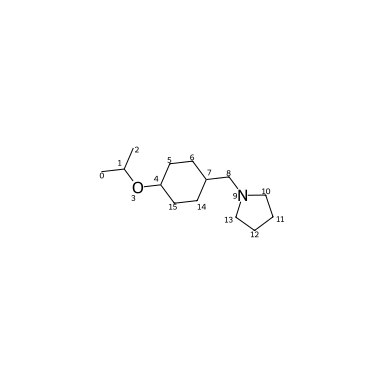 CC(C)OC1CCC(CN2CCCC2)CC1